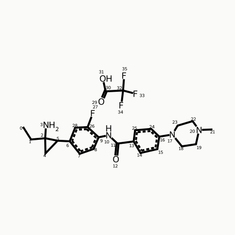 CCC1(N)CC1c1ccc(NC(=O)c2ccc(N3CCN(C)CC3)cc2)c(F)c1.O=C(O)C(F)(F)F